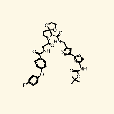 CC(C)(C)OC(=O)Nc1csc(-c2csc(CNC(=O)[C@H]3N(C(=O)CNC(=O)c4ccc(Oc5ccc(F)cc5)cc4)CCC34OCCO4)c2)n1